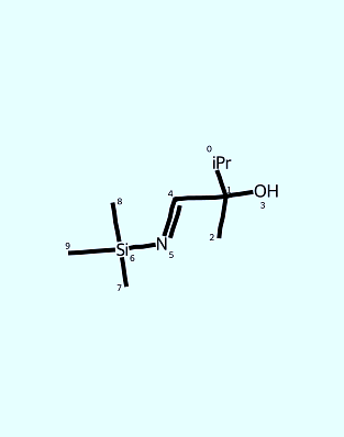 CC(C)C(C)(O)C=N[Si](C)(C)C